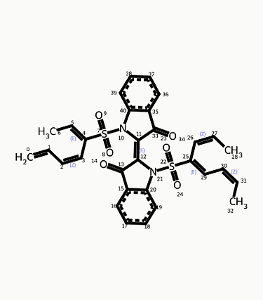 C=C/C=C\C(=C/C)S(=O)(=O)N1/C(=C2\C(=O)c3ccccc3N2S(=O)(=O)C(/C=C\C)=C/C=C\C)C(=O)c2ccccc21